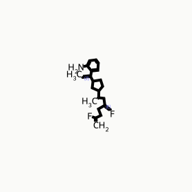 C=C(F)CC/C(=C\F)CC(C)C1CCC(/C(=C/C)c2ccccc2N)C1